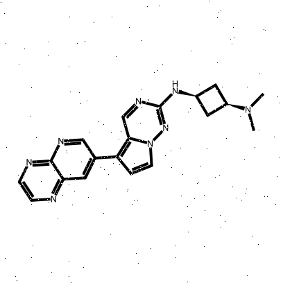 CN(C)[C@H]1C[C@@H](Nc2ncc3c(-c4cnc5nccnc5c4)ccn3n2)C1